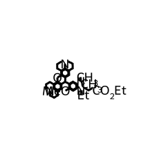 CCOC(=O)CCCN(CC)c1cc(OC)c(C2c3cc4c5c(c3Oc3c2cc2c6c3CCCN6CCC2)CCCN5CCC4)cc1N(C)C